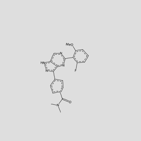 COc1cccc(F)c1-c1ncc2[nH]nc(-c3ccc(C(=O)N(C)C)cc3)c2n1